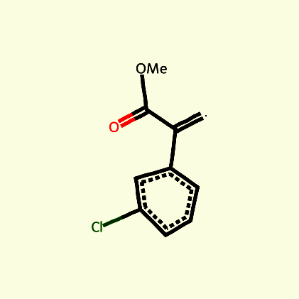 [CH]=C(C(=O)OC)c1cccc(Cl)c1